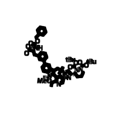 CCn1c(-c2cccnc2C(C)OC)c(CC(C)(C)n2cc([C@@H]3CCCN(C(=O)OC(C)(C)C)N3C(=O)OC(C)(C)C)nn2)c2cc(-c3cccc(CC(NC(=O)OCc4ccccc4)C(=O)OC)c3)ccc21